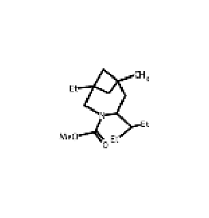 CCC(CC)C1CC2(C)CC(CC)(CN1C(=O)OC)C2